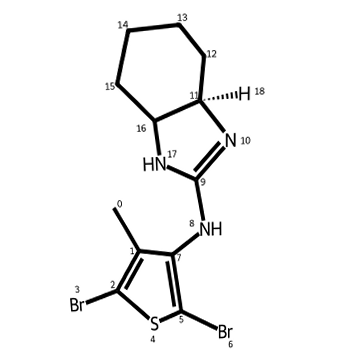 Cc1c(Br)sc(Br)c1NC1=N[C@@H]2CCCCC2N1